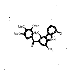 COc1cc(C(=O)c2cc(C)c3[nH]c4c(Cl)cccc4c3c2C)cc(OC)c1OC